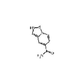 NC(=O)C1=CC2=CNSN2C=C1